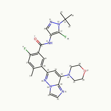 Cc1cc(F)c(C(=O)Nc2cnn(C(C)(C)C)c2F)cc1-c1cc(N2CCOCC2)c2nccn2n1